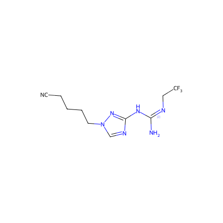 N#CCCCCn1cnc(N/C(N)=N\CC(F)(F)F)n1